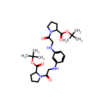 CC(C)(C)OC(=O)C1CCCN1C(=O)CNc1cccc(NCC(=O)N2CCCC2C(=O)OC(C)(C)C)c1